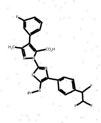 Cc1nn(-c2nc(-c3ccc(C(F)C(F)F)cc3)c(SC(C)C)s2)c(C(=O)O)c1-c1cccc(F)c1